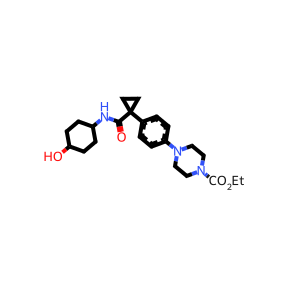 CCOC(=O)N1CCN(c2ccc(C3(C(=O)NC4CCC(O)CC4)CC3)cc2)CC1